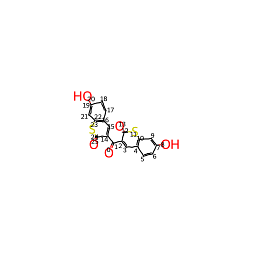 O=C(c1cc2ccc(O)cc2sc1=O)c1cc2ccc(O)cc2sc1=O